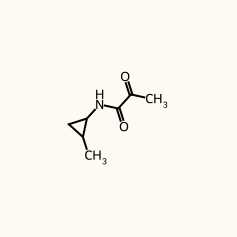 CC(=O)C(=O)NC1CC1C